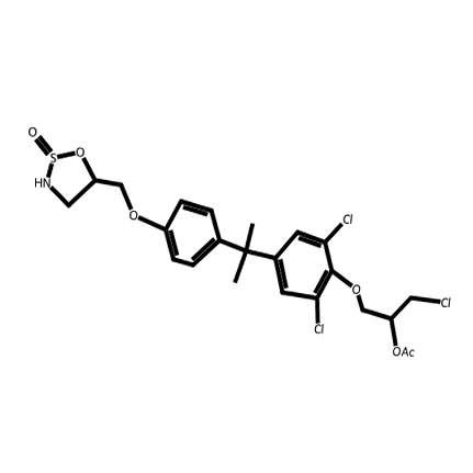 CC(=O)OC(CCl)COc1c(Cl)cc(C(C)(C)c2ccc(OCC3CNS(=O)O3)cc2)cc1Cl